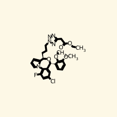 CCOC(=O)Cc1nnn(CCC[C@H]2O[C@H](c3cccc(OC)c3OC)c3cc(Cl)cc(F)c3-n3cccc32)n1